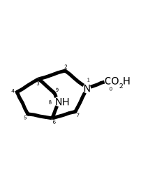 O=C(O)N1CC2CCC(C1)NC2